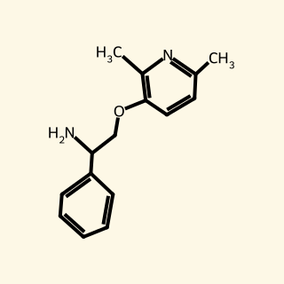 Cc1ccc(OCC(N)c2ccccc2)c(C)n1